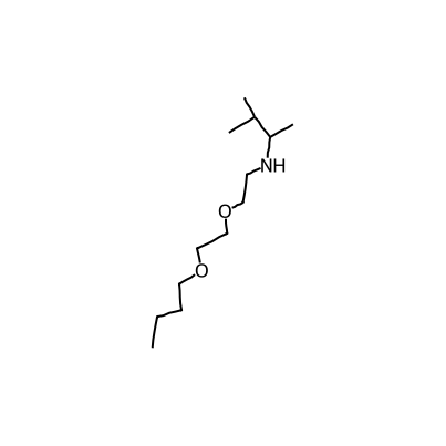 CCCCOCCOCCNC(C)C(C)C